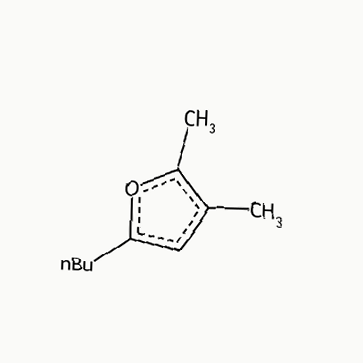 CCCCc1cc(C)c(C)o1